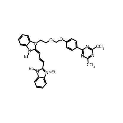 CCN1C(=CC=Cc2n(CC)c3ccccc3[n+]2CC)N(CCOCOc2ccc(-c3nc(C(Cl)(Cl)Cl)nc(C(Cl)(Cl)Cl)n3)cc2)c2ccccc21